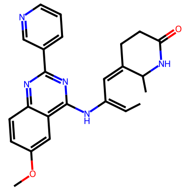 C/C=C(\C=C1\CCC(=O)NC1C)Nc1nc(-c2cccnc2)nc2ccc(OC)cc12